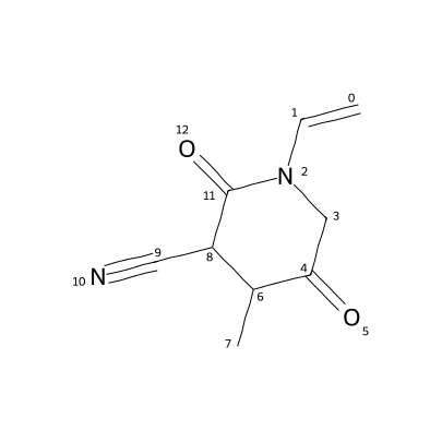 C=CN1CC(=O)C(C)C(C#N)C1=O